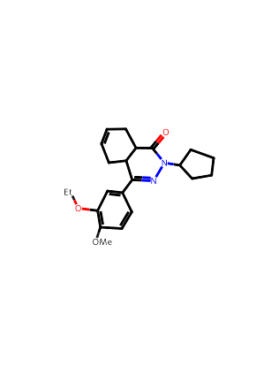 CCOc1cc(C2=NN(C3CCCC3)C(=O)C3CC=CCC23)ccc1OC